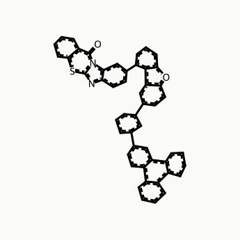 O=c1c2ccccc2sc2nc3ccc(-c4cccc5oc6ccc(-c7cccc(-c8ccc9c%10ccccc%10c%10ccccc%10c9c8)c7)cc6c45)cc3n12